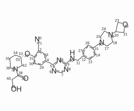 N#Cc1cc(-c2ncnc(NCc3ccc(N4CCN(C5COC5)CC4)cc3)n2)ccc1O[C@H]1CCCN(C(=O)CO)C1